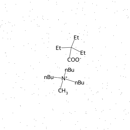 CCC(CC)(CC)C(=O)[O-].CCCC[N+](C)(CCCC)CCCC